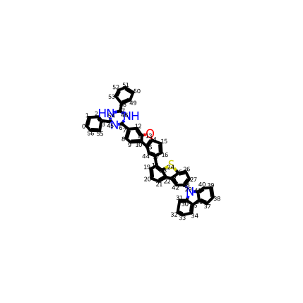 c1ccc(C2=NC(c3ccc4c(c3)oc3ccc(-c5cccc6c5sc5ccc(-n7c8ccccc8c8ccccc87)cc56)cc34)NC(c3ccccc3)N2)cc1